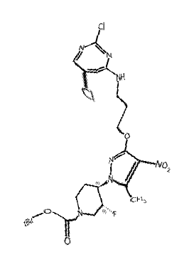 Cc1c([N+](=O)[O-])c(OCCCNc2nc(Cl)ncc2Cl)nn1[C@@H]1CCN(C(=O)OC(C)(C)C)C[C@H]1F